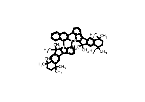 CC1(C)CCC(C)(C)c2cc3c(cc21)-c1c(n2c4c(cccc14)-c1cc4ccccc4c4c1B2c1cccc2c5c(n-4c12)C(C)(C)c1cc2c(cc1-5)C(C)(C)CCC2(C)C)C3(C)C